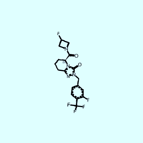 O=C([C@@H]1CCCc2nn(Cc3ccc(C(F)(F)F)c(F)c3)c(=O)n21)N1CC(F)C1